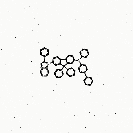 c1ccc(-c2ccc(N(c3ccccc3)c3ccc4c(c3)C(c3ccccc3)(c3ccccc3)c3cc(-n5c(-c6ccccc6)cc6ccccc65)ccc3-4)cc2)cc1